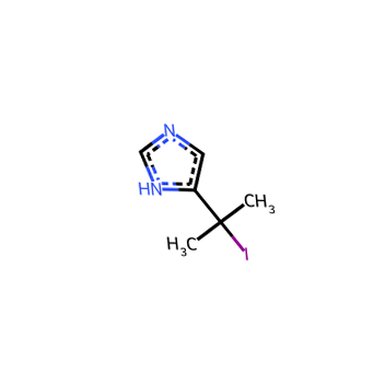 CC(C)(I)c1cnc[nH]1